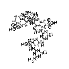 Nc1nc(Cl)nc(Nc2cc(Nc3nc(Cl)nc(Nc4cc(S(=O)(=O)O)cc5cc(S(=O)(=O)O)c(N=Nc6ccc7c(S(=O)(=O)O)cccc7c6S(=O)(=O)O)c(O)c45)n3)ccc2S(=O)(=O)O)n1